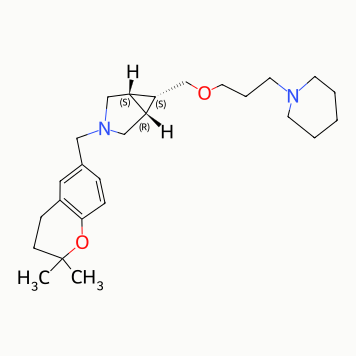 CC1(C)CCc2cc(CN3C[C@@H]4[C@H](COCCCN5CCCCC5)[C@@H]4C3)ccc2O1